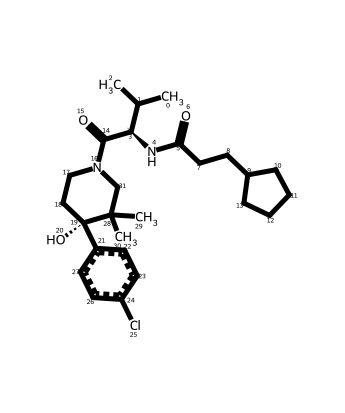 CC(C)[C@@H](NC(=O)CCC1CCCC1)C(=O)N1CC[C@](O)(c2ccc(Cl)cc2)C(C)(C)C1